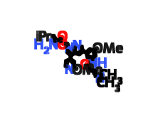 COc1cc(NC(=O)/C=C/CN(C)C)cc(-c2cnc3c(c2)c(-c2ccnc(OC)c2)cn3COC(=O)C(N)CC(C)C)c1